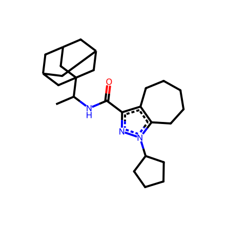 CC(NC(=O)c1nn(C2CCCC2)c2c1CCCCC2)C12CC3CC(CC(C3)C1)C2